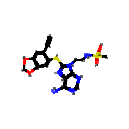 C#Cc1cc2c(cc1Sc1nc3c(N)ncnc3n1CCNS(C)(=O)=O)OCO2